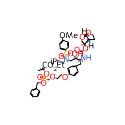 CCOC(=O)[C@H](C)OP(=O)(COCCOc1ccc(C[C@H](NC(=O)O[C@H]2CO[C@H]3OCC[C@H]32)[C@H](O)CN(CC(C)C)S(=O)(=O)c2ccc(OC)cc2)cc1)OCc1ccccc1